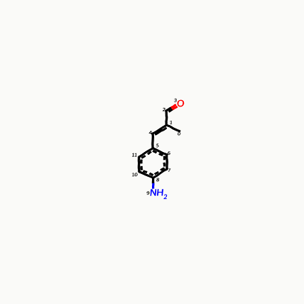 C/C(C=O)=C\c1ccc(N)cc1